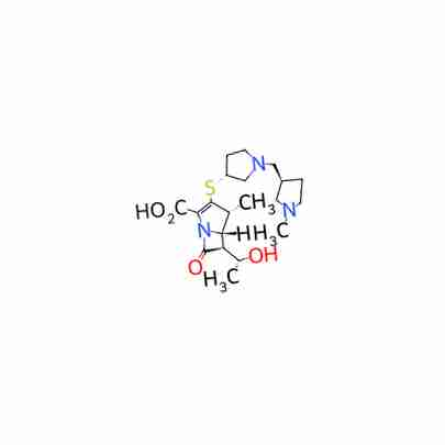 C[C@@H](O)[C@H]1C(=O)N2C(C(=O)O)=C(S[C@@H]3CCN(C[C@H]4CCN(C)C4)C3)[C@H](C)[C@H]12